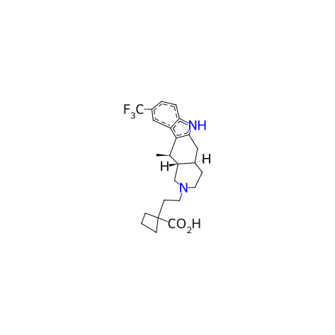 C[C@H]1c2c([nH]c3ccc(C(F)(F)F)cc23)C[C@H]2CCN(CCC3(C(=O)O)CCC3)C[C@@H]21